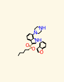 CCCCCS(=O)(=O)c1c[nH]c2c(N3CCNCC3)cccc12.c1ccc2occc2c1